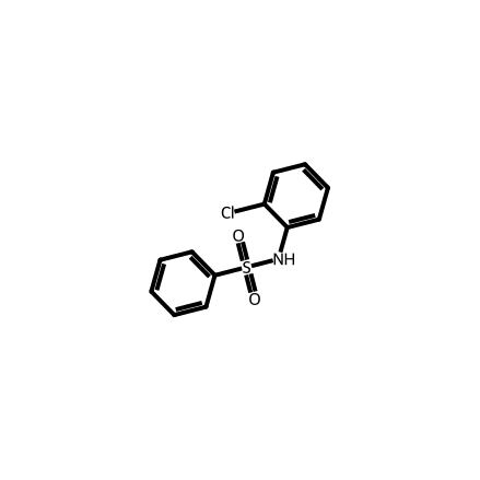 O=S(=O)(Nc1ccccc1Cl)c1ccccc1